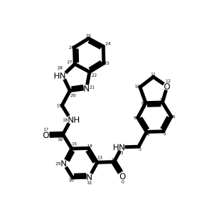 O=C(NCc1ccc2c(c1)CCO2)c1cc(C(=O)NCc2nc3ccccc3[nH]2)ncn1